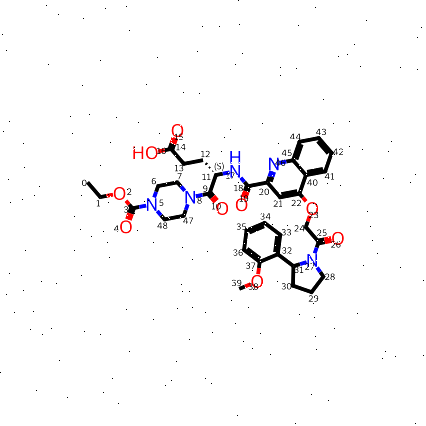 CCOC(=O)N1CCN(C(=O)[C@H](CCC(=O)O)NC(=O)c2cc(OCC(=O)N3CCCC3c3ccccc3OC)c3ccccc3n2)CC1